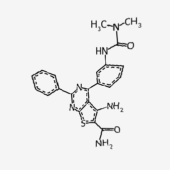 CN(C)C(=O)Nc1cccc(-c2nc(-c3ccccc3)nc3sc(C(N)=O)c(N)c23)c1